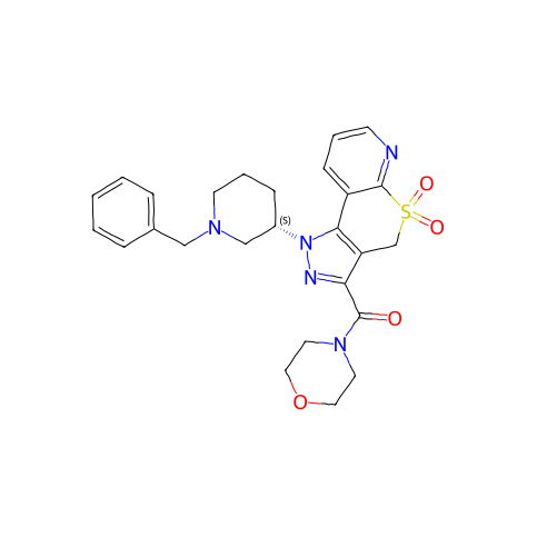 O=C(c1nn([C@H]2CCCN(Cc3ccccc3)C2)c2c1CS(=O)(=O)c1ncccc1-2)N1CCOCC1